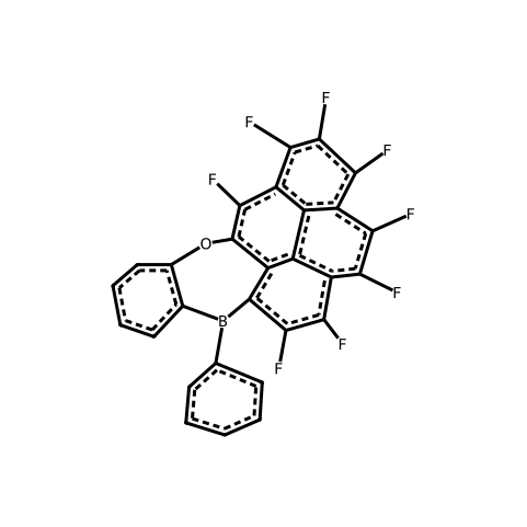 Fc1c(F)c2c(F)c(F)c3c(F)c(F)c4c5c(c(F)c(c1F)c2c35)Oc1ccccc1B4c1ccccc1